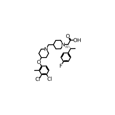 Cc1c(OC2CCN(CC3CCN([C@H](C(=O)O)C(C)c4ccc(F)cc4)CC3)CC2)ccc(Cl)c1Cl